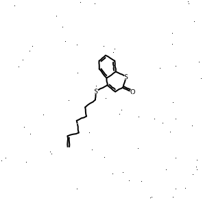 C=CCCCCCSc1cc(=O)sc2ccccc12